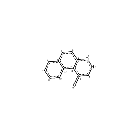 O=c1cnoc2ccc3ccccc3c12